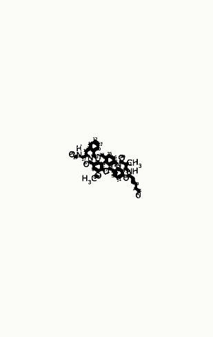 COc1cc(C(=O)N2Cc3ccccc3CC2CNC=O)c(OCc2ccc(NC(=O)C(C)CNC(=O)CCCCC=O)cc2)cc1OCc1ccccc1